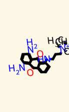 CC[N+](C)(CC)CCCNc1cccc2c1C(=O)c1c(N)ccc(N)c1C2=O